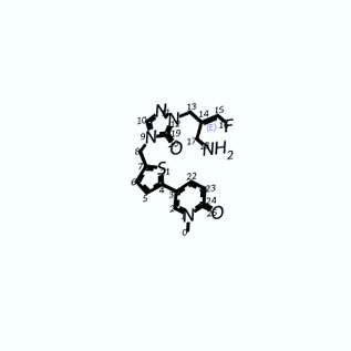 Cn1cc(-c2ccc(Cn3cnn(C/C(=C/F)CN)c3=O)s2)ccc1=O